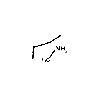 CCCC.NO